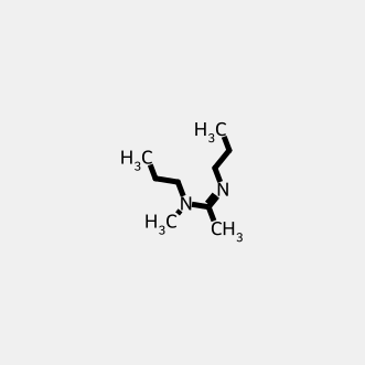 CCCN=C(C)N(C)CCC